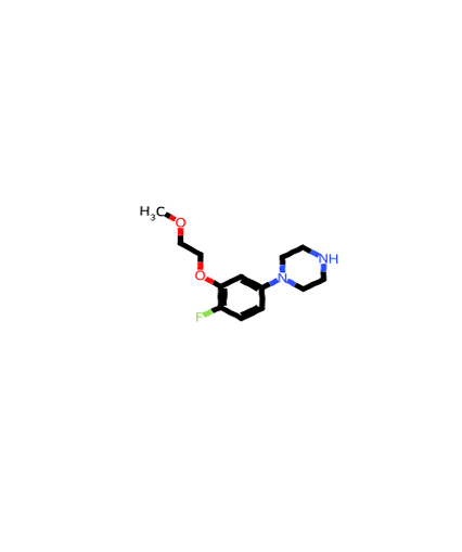 COCCOc1cc(N2CCNCC2)ccc1F